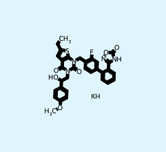 CCc1cc2c(=O)n(CC(O)c3ccc(OC)cc3)c(=O)n(Cc3ccc(-c4ccccc4-c4noc(=O)[nH]4)cc3F)c2s1.[KH]